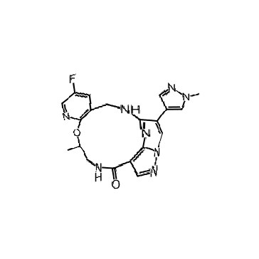 CC1CNC(=O)c2cnn3cc(-c4cnn(C)c4)c(nc23)NCc2cc(F)cnc2O1